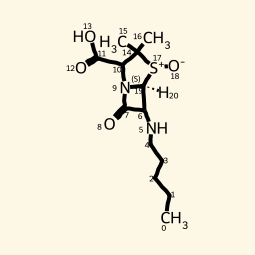 CCCCCNC1C(=O)N2C(C(=O)O)C(C)(C)[S+]([O-])[C@@H]12